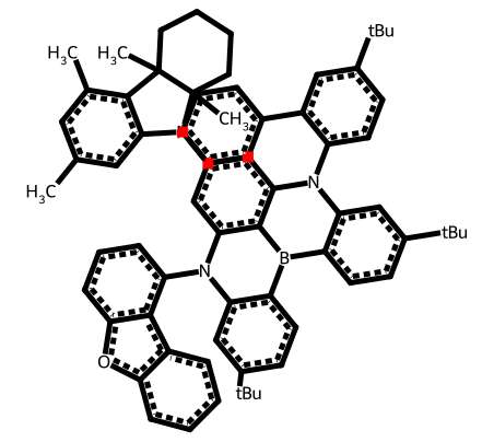 Cc1cc(C)c2c(c1)N(c1cc3c4c(c1)N(c1cccc5oc6ccccc6c15)c1cc(C(C)(C)C)ccc1B4c1ccc(C(C)(C)C)cc1N3c1ccc(C(C)(C)C)cc1-c1ccccc1)C1(C)CCCCC21C